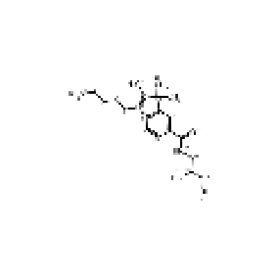 CC1=[N+](CCCCS(=O)(=O)O)c2ccc(C(=O)NCC(O)CO)cc2C1(C)C